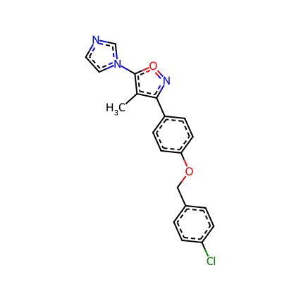 Cc1c(-c2ccc(OCc3ccc(Cl)cc3)cc2)noc1-n1ccnc1